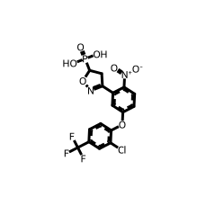 O=[N+]([O-])c1ccc(Oc2ccc(C(F)(F)F)cc2Cl)cc1C1=NOC(P(=O)(O)O)C1